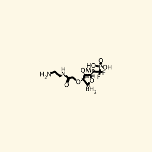 B[C@@H]1O[C@H](CC(F)(F)P(=O)(O)O)[C@@H](OC)[C@H]1OCC(=O)NCCN